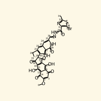 COC1=CC(=O)c2c(O)c3c(c(O)c2C1=O)C(=O)[C@]1(CCc2cc4cc(/C=N/NC(=O)c5nc(C)sc5Br)[nH]c(=O)c4c(O)c21)C3=O